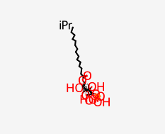 CC(C)CCCCCCCCCCCCCCC(=O)OC[C@H](O)[C@H]1OC(=O)C(OP(=O)(O)O)=C1O